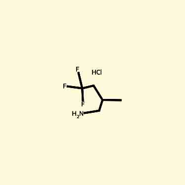 CC(CN)CC(F)(F)F.Cl